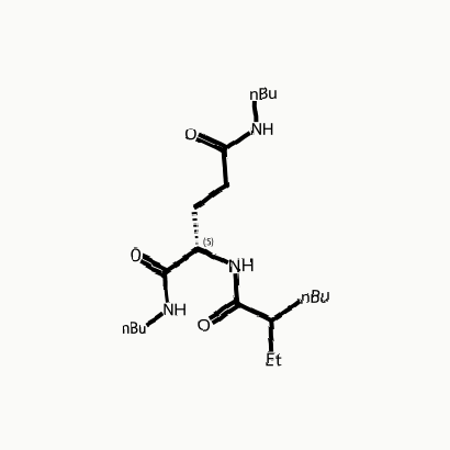 CCCCNC(=O)CC[C@H](NC(=O)C(CC)CCCC)C(=O)NCCCC